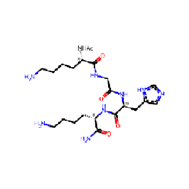 CC(=O)N[C@@H](CCCCN)C(=O)NCC(=O)N[C@@H](Cc1cnc[nH]1)C(=O)N[C@@H](CCCCN)C(N)=O